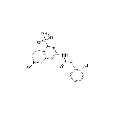 CC(=O)N1CCc2c(cc(NC(=O)Cc3ccccc3Cl)cc2S(N)(=O)=O)C1